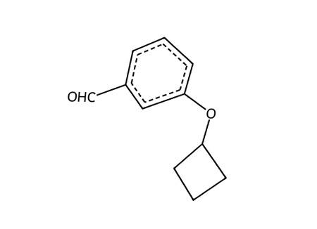 O=Cc1cccc(OC2CCC2)c1